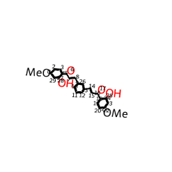 COc1ccc(C(=O)C=Cc2cccc(C=CC(=O)c3ccc(OC)cc3O)c2)c(O)c1